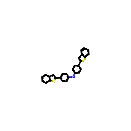 c1ccc2sc(-c3ccc(Nc4ccc(-c5cc6ccccc6s5)cc4)cc3)cc2c#1